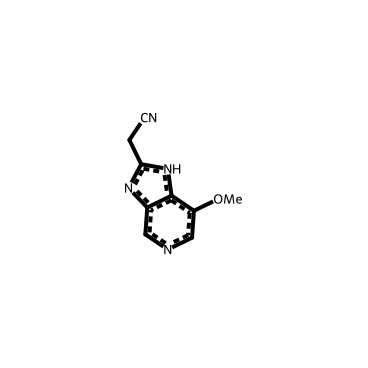 COc1cncc2nc(CC#N)[nH]c12